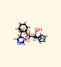 CC(C)(C)OC(=O)N1CC2CCC(C1)C21CC([C@H]2c3ccccc3-c3cncn32)C1O